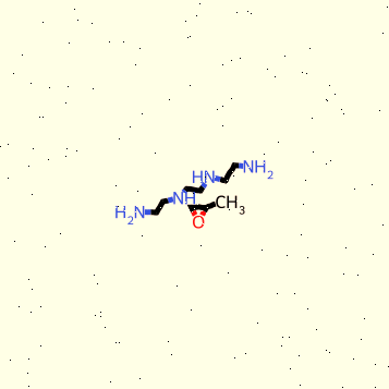 CC1CO1.NCCNCCNCCN